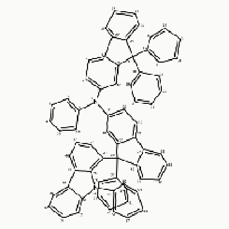 c1ccc(N(c2ccc3c(c2)C(c2ccccc2)(c2ccccc2)c2ccccc2-3)c2ccc3c(c2)C(c2ccccc2)(c2cccc4c5ccccc5n(-c5ccccc5)c24)c2ccccc2-3)cc1